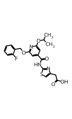 CC(C)Oc1cc(C(=O)Nc2nc(CC(=O)O)cs2)cc(OCc2ccccc2F)n1